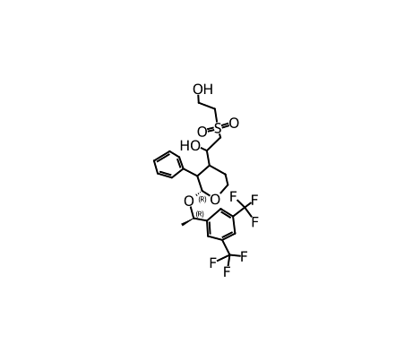 C[C@@H](O[C@H]1OCCC(C(O)CS(=O)(=O)CCO)C1c1ccccc1)c1cc(C(F)(F)F)cc(C(F)(F)F)c1